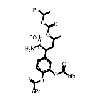 CCCC(=O)Oc1ccc(C(CC(C)OC(=O)OC(C)C(C)C)[C@H](N)C(=O)O)cc1OC(=O)CCC